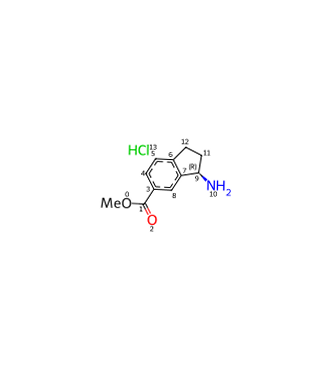 COC(=O)c1ccc2c(c1)[C@H](N)CC2.Cl